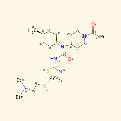 CCCC(=O)N1CCC(N(C(=O)Nc2ncc(SCCN(CC)CC)s2)[C@H]2CC[C@H](C)CC2)CC1